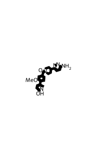 COc1cc(C(=O)N2CCC(c3ccc(N)nn3)CC2)ccc1-c1ccc(O)nc1